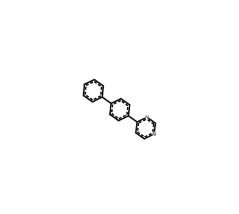 c1ccc(-c2ccc(-c3ccncn3)cc2)cc1